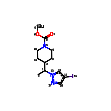 CC(C1CCN(C(=O)OC(C)(C)C)CC1)n1cc(I)cn1